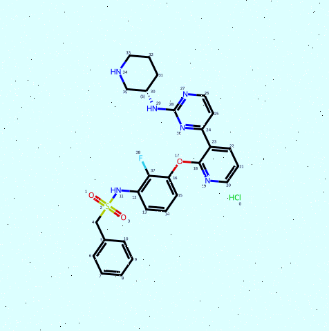 Cl.O=S(=O)(Cc1ccccc1)Nc1cccc(Oc2ncccc2-c2ccnc(N[C@H]3CCCNC3)n2)c1F